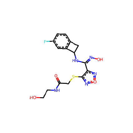 O=C(CSc1nonc1/C(=N\O)NC1Cc2ccc(F)cc21)NCCO